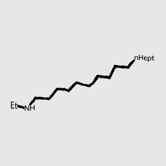 CCCCCCCCCCCCCCCCCNCC